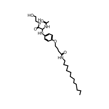 CCCCCCCCCCCCNC(=O)CCCOc1ccc(NC(NC(C)=O)C(=O)NCCO)cc1